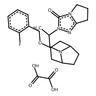 CC(CN1C2CCC1CC(OCc1ccccc1F)C2)n1nc2n(c1=O)CCC2.O=C(O)C(=O)O